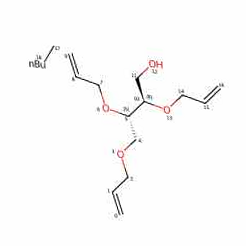 C=CCOC[C@H](OCC=C)[C@@H](CO)OCC=C.CCCCC